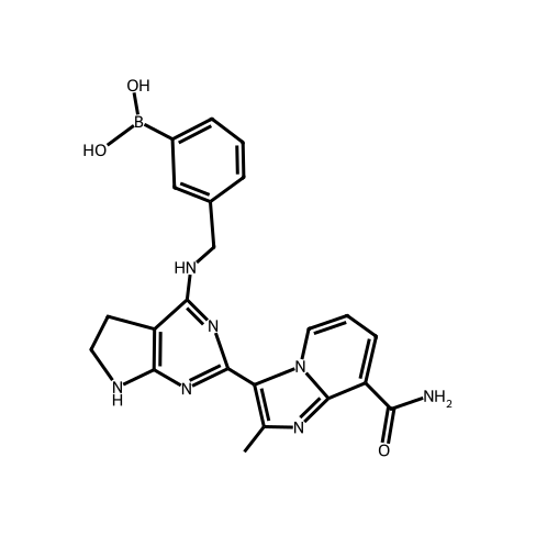 Cc1nc2c(C(N)=O)cccn2c1-c1nc2c(c(NCc3cccc(B(O)O)c3)n1)CCN2